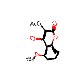 CC(=O)Oc1c(O)c2c(OC(C)(C)C)cccc2oc1=O